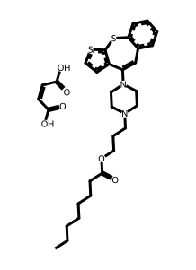 CCCCCCCC(=O)OCCCN1CCN(C2=Cc3ccccc3Sc3sccc32)CC1.O=C(O)/C=C\C(=O)O